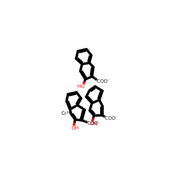 O=C([O-])c1cc2ccccc2cc1O.O=C([O-])c1cc2ccccc2cc1O.O=C([O-])c1cc2ccccc2cc1O.[Cr+3]